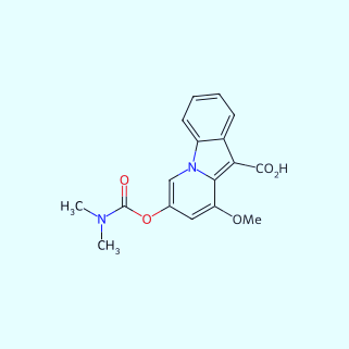 COc1cc(OC(=O)N(C)C)cn2c1c(C(=O)O)c1ccccc12